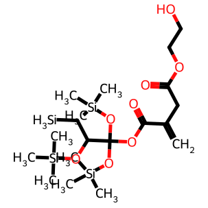 C=C(CC(=O)OCCO)C(=O)OC(O[Si](C)(C)C)(O[Si](C)(C)C)C(C[SiH3])O[Si](C)(C)C